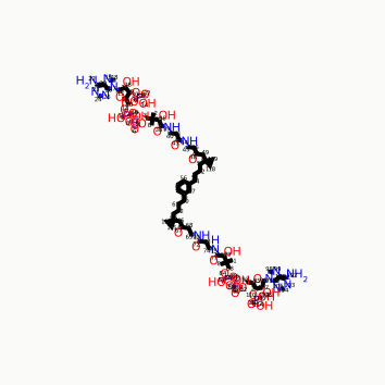 CC(C)(COP(=O)(O)OP(=O)(O)OCC1OC(n2cnc3c(N)ncnc32)C(O)C1OP(=O)(O)O)C(O)C(=O)NCCC(=O)NCCC(=O)CC1(CCCCc2cccc(CCCCC3(CC(=O)CCNC(=O)CCNC(=O)C(O)C(C)(C)COP(=O)(O)OP(=O)(O)OCC4OC(n5cnc6c(N)ncnc65)C(O)C4OP(=O)(O)O)CC3)c2)CC1